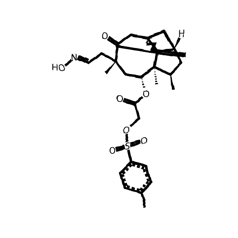 C=C1CC[C@]23CC(=O)[C@@](C)(C/C=N/O)C[C@@H](OC(=O)COS(=O)(=O)c4ccc(C)cc4)[C@]4(C)[C@H](C)C[C@@H](C2)[C@@]134